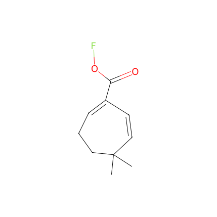 CC1(C)C=CC(C(=O)OF)=CCC1